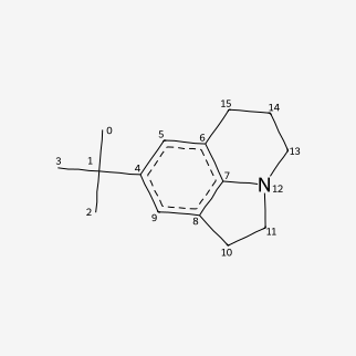 CC(C)(C)c1cc2c3c(c1)CCN3CCC2